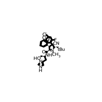 CN1[C@@H](CC(C)(C)C)[C@](C#N)(c2ccc(Cl)cc2F)[C@@H](c2cccc(Cl)c2F)[C@@H]1C(=O)N[C@H](CO)Cc1c[nH]cn1